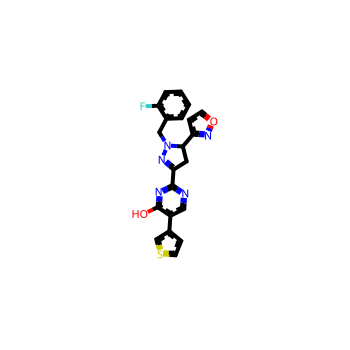 Oc1nc(C2=NN(Cc3ccccc3F)C(c3ccon3)C2)ncc1-c1ccsc1